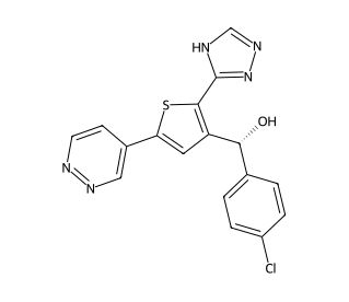 O[C@H](c1ccc(Cl)cc1)c1cc(-c2ccnnc2)sc1-c1nnc[nH]1